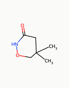 CC1(C)CONC(=O)C1